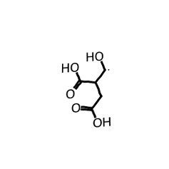 O=C(O)CC([CH]O)C(=O)O